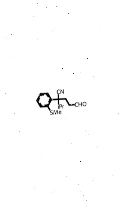 CSc1ccccc1C(C#N)(CCC=O)C(C)C